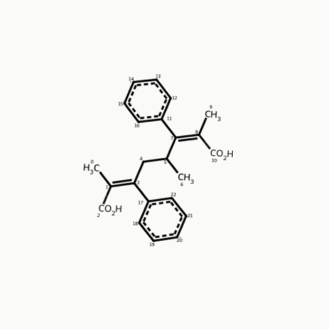 CC(C(=O)O)=C(CC(C)C(=C(C)C(=O)O)c1cc[c]cc1)c1cc[c]cc1